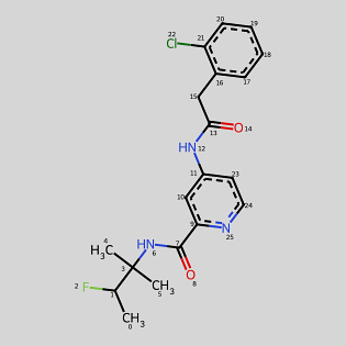 CC(F)C(C)(C)NC(=O)c1cc(NC(=O)Cc2ccccc2Cl)ccn1